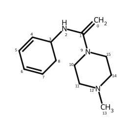 C=C(NC1C=CC=CC1)N1CCN(C)CC1